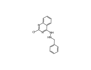 Clc1nc(NNCc2ccccc2)c2ccccc2n1